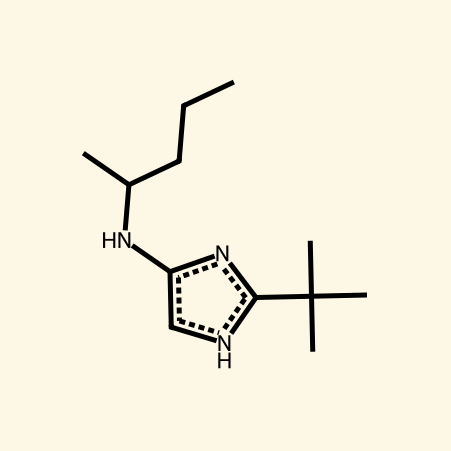 CCCC(C)Nc1c[nH]c(C(C)(C)C)n1